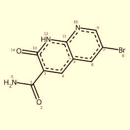 NC(=O)c1cc2cc(Br)cnc2[nH]c1=O